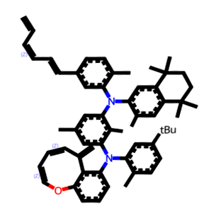 C=C/C=C\C=Cc1ccc(C)c(N(c2cc3c(cc2C)C(C)(C)CCC3(C)C)c2cc(C)cc(N(c3cc(C(C)(C)C)ccc3C)c3cccc4c3C(=C)/C=C\C=C/O4)c2C)c1